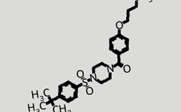 CCCCOc1ccc(C(=O)N2CCN(S(=O)(=O)c3ccc(C(C)(C)C)cc3)CC2)cc1